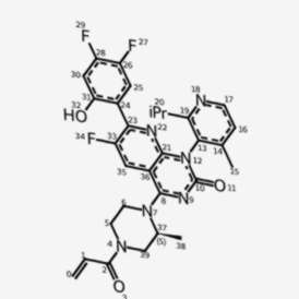 C=CC(=O)N1CCN(c2nc(=O)n(-c3c(C)ccnc3C(C)C)c3nc(-c4cc(F)c(F)cc4O)c(F)cc23)[C@@H](C)C1